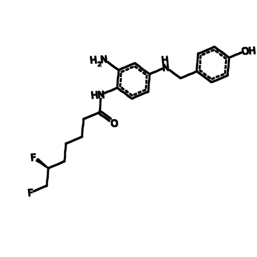 Nc1cc(NCc2ccc(O)cc2)ccc1NC(=O)CCCC[C@H](F)CF